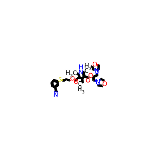 CCC1C(C(=O)OCCCSc2cccc(C#N)c2)=C(C)NC(C)=C1C(=O)OC(CN1CCOCC1)CN1CCOCC1